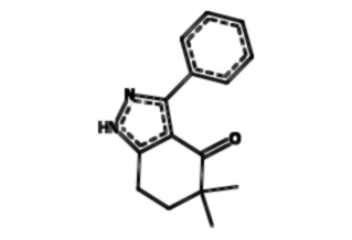 CC1(C)CCc2[nH]nc(-c3ccccc3)c2C1=O